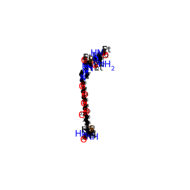 CCOc1nc(N2CCN(CCOCCOCCOCCOC(=O)CCCC[C@@H]3SC[C@@H]4NC(=O)N[C@@H]43)CC2)nc(OCC)c1Sc1nc(N)cc(NC(=O)CC)n1